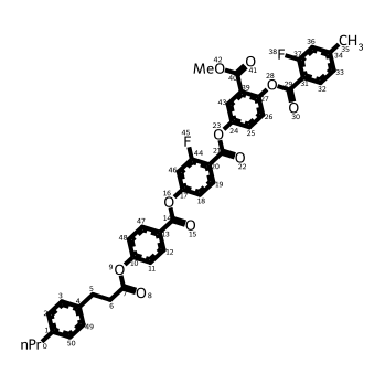 CCCc1ccc(CCC(=O)Oc2ccc(C(=O)Oc3ccc(C(=O)Oc4ccc(OC(=O)c5ccc(C)cc5F)c(C(=O)OC)c4)c(F)c3)cc2)cc1